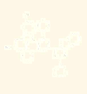 N#Cc1ccc2c(c1)c1cc(C#N)ccc1n2-c1c(-c2ccccc2)cc(-c2nc(-c3ccccc3)nc3c2sc2ccccc23)cc1-c1ccccc1